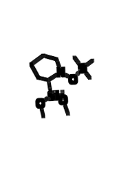 CO[SiH](OC)C1CCCCN1O[Si](C)(C)C